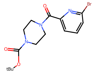 CC(C)(C)OC(=O)N1CCN(C(=O)c2cccc(Br)n2)CC1